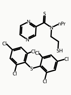 CCCN(CCS)C(=S)c1cnccn1.Clc1cc(Cl)c(Sc2c(Cl)cc(Cl)cc2Cl)c(Cl)c1